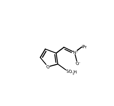 CC(C)[N+]([O-])=Cc1ccoc1S(=O)(=O)O